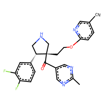 Cc1ncc(C(=O)[C@@]2(CCOc3ccc(C#N)cn3)CNC[C@H]2c2ccc(F)c(F)c2)cn1